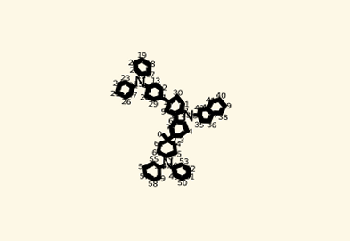 CC1(c2ccc3c(c2)c2cc(-c4ccc(N(c5ccccc5)c5ccccc5)cc4)ccc2n3-c2ccc3ccccc3c2)CC=C(N(c2ccccc2)C2C=CC=CC2)CC1